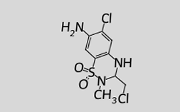 CN1C(CCl)Nc2cc(Cl)c(N)cc2S1(=O)=O